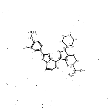 COc1ccc(-c2cn3cccc(-c4nn(C5CCOCC5)c5c4CN(C(C)=O)CC5)c3n2)cc1F